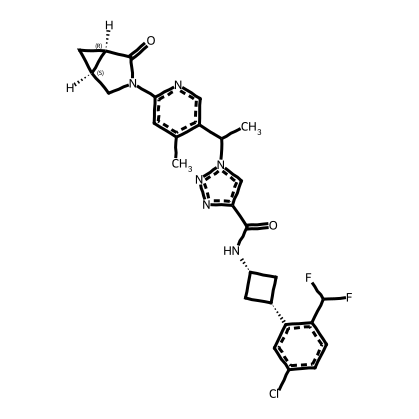 Cc1cc(N2C[C@H]3C[C@H]3C2=O)ncc1C(C)n1cc(C(=O)N[C@H]2C[C@@H](c3cc(Cl)ccc3C(F)F)C2)nn1